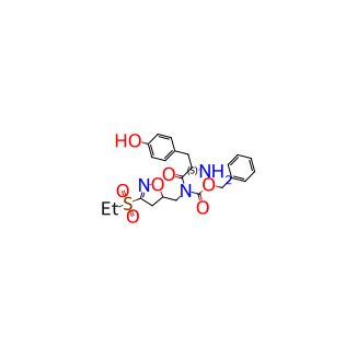 CCS(=O)(=O)C1=NOC(CN(C(=O)OCc2ccccc2)C(=O)[C@@H](N)Cc2ccc(O)cc2)C1